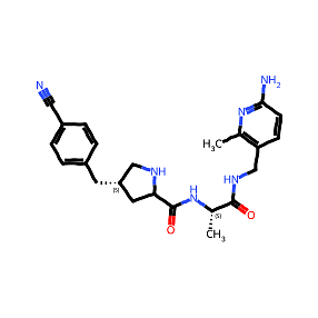 Cc1nc(N)ccc1CNC(=O)[C@H](C)NC(=O)C1C[C@H](Cc2ccc(C#N)cc2)CN1